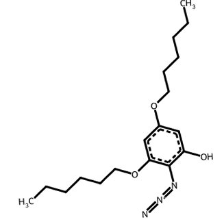 CCCCCCOc1cc(O)c(N=[N+]=[N-])c(OCCCCCC)c1